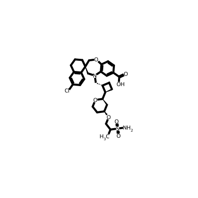 CC(CO[C@H]1CCO[C@@H]([C@@H]2CC[C@H]2CN2C[C@@]3(CCCc4cc(Cl)ccc43)COc3ccc(C(=O)O)cc32)C1)S(N)(=O)=O